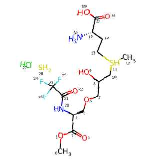 COC(=O)[C@H](COCC(O)C[SH](C)CC[C@H](N)C(=O)O)NC(=O)C(F)(F)F.Cl.S